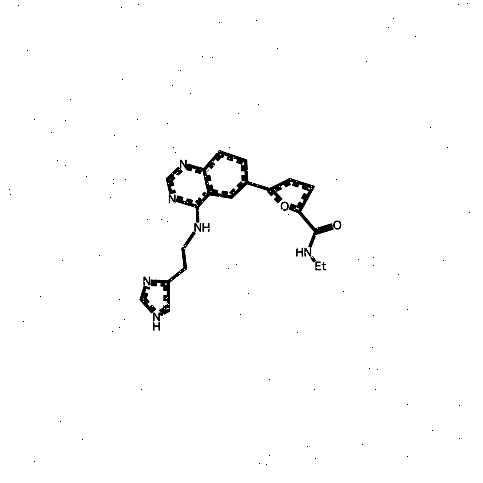 CCNC(=O)c1ccc(-c2ccc3ncnc(NCCc4c[nH]cn4)c3c2)o1